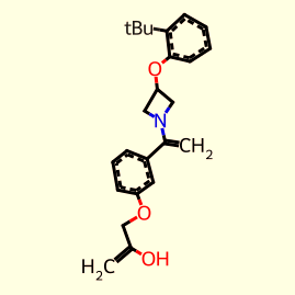 C=C(O)COc1cccc(C(=C)N2CC(Oc3ccccc3C(C)(C)C)C2)c1